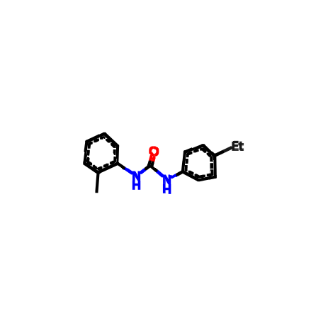 CCc1ccc(NC(=O)Nc2ccccc2C)cc1